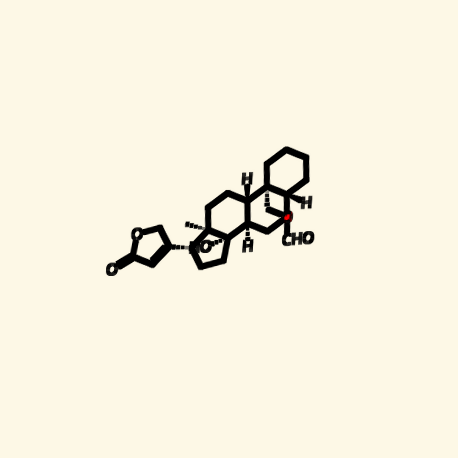 C[C@]12CC[C@H]3[C@@H](CC[C@H]4CCCC[C@@]43COC=O)[C@@]1(O)CC[C@@H]2C1=CC(=O)OC1